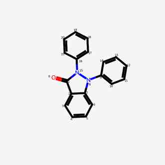 O=c1c2ccccc2n(-c2ccccc2)n1-c1ccccc1